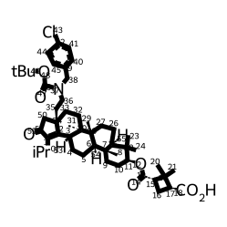 CC(C)C1=C2[C@H]3CC[C@@H]4[C@@]5(C)CC[C@H](OC(=O)[C@H]6C[C@@H](C(=O)O)C6(C)C)C(C)(C)[C@@H]5CC[C@@]4(C)[C@]3(C)CC[C@@]2(CCN(Cc2ccc(Cl)cc2)C(=O)OC(C)(C)C)CC1=O